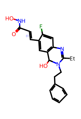 CCC1=Nc2cc(F)c(/C=C/C(=O)NO)cc2C(O)N1CCc1ccccc1